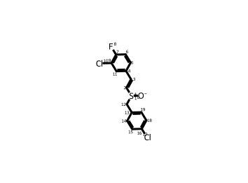 [O-][S+](C=Cc1ccc(F)c(Cl)c1)Cc1ccc(Cl)cc1